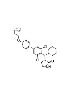 O=C(O)CCOc1ccc(-c2cc(Cl)c(C(C3CCCCC3)C3CCNC3=O)c(Cl)c2)cc1